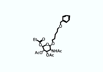 CCC(=O)O[C@H]1O[C@@H](OCCCCCOCc2ccccc2)[C@H](NC(C)=O)[C@@H](OC(C)=O)[C@H]1OC(C)=O